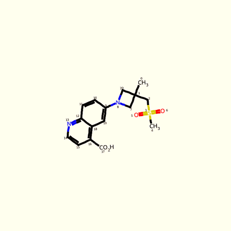 CC1(CS(C)(=O)=O)CN(c2ccc3nccc(C(=O)O)c3c2)C1